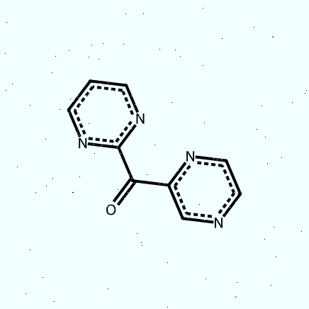 O=C(c1cnccn1)c1ncccn1